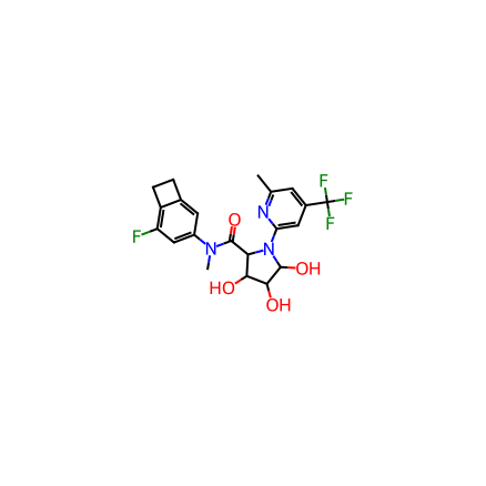 Cc1cc(C(F)(F)F)cc(N2C(O)C(O)C(O)C2C(=O)N(C)c2cc(F)c3c(c2)CC3)n1